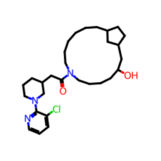 O=C(CC1CCCN(c2ncccc2Cl)C1)N1CCCCCCC2CCC(CC(O)CCCC1)C2